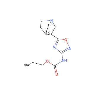 CC(C)(C)CCOC(=O)Nc1noc(C2CN3CCC2CC3)n1